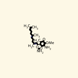 COC1=C(N)[C@@H](OC(N)=O)[C@@H](C/C=C(\C)CC/C=C(\C)CCC=C(C)C)[C@H](C)C1=O